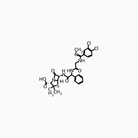 CN=C(NCC(=O)NC(C(=O)N[C@@H]1C(=O)N2[C@@H]1SC(C)(C)[C@@H]2C(=O)O)c1ccccc1)c1ccc(Cl)c(Cl)c1